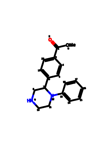 COC(=O)c1ccc(C2CNCCN2c2ccccc2)cc1